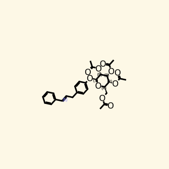 CC(=O)OC[C@H]1O[C@@H](Oc2ccc(C/C=C/c3ccccc3)cc2)[C@H](OC(C)=O)[C@@H](OC(C)=O)[C@@H]1OC(C)=O